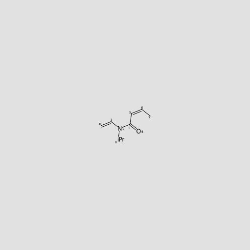 C=CN(C(=O)/C=C\C)C(C)C